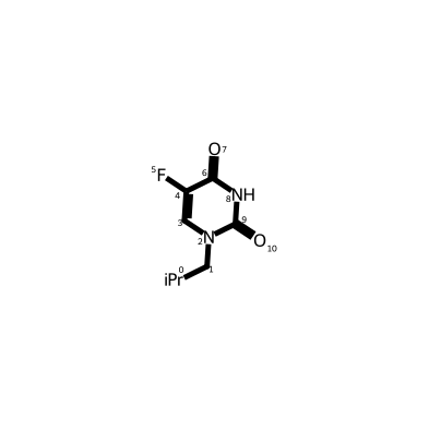 CC(C)Cn1cc(F)c(=O)[nH]c1=O